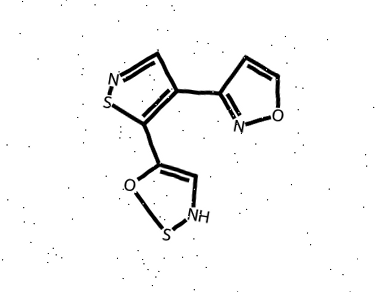 [c]1nsc(C2=CNSO2)c1-c1ccon1